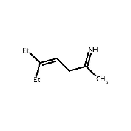 CCC(=CCC(C)=N)CC